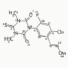 Cn1c(=S)n(C)c(=O)n(-c2cc(/C=N/O)c(Cl)cc2F)c1=O